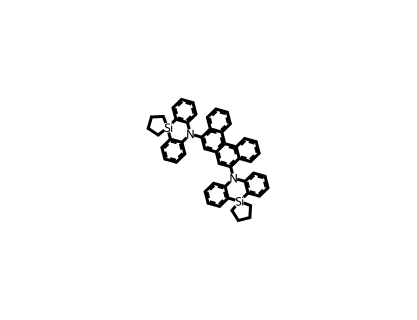 c1ccc2c(c1)N(c1cc3cc(N4c5ccccc5[Si]5(CCCC5)c5ccccc54)c4ccccc4c3c3ccccc13)c1ccccc1[Si]21CCCC1